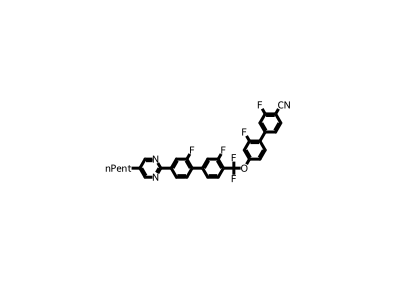 CCCCCc1cnc(-c2ccc(-c3ccc(C(F)(F)Oc4ccc(-c5ccc(C#N)c(F)c5)c(F)c4)c(F)c3)c(F)c2)nc1